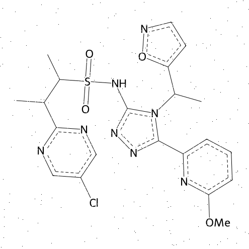 COc1cccc(-c2nnc(NS(=O)(=O)C(C)C(C)c3ncc(Cl)cn3)n2C(C)c2ccno2)n1